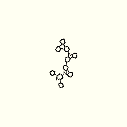 c1ccc(-c2cc(-n3c4ccccc4c4cc(-c5ccc6c(c5)c5ccccc5n6-c5ccc6c7ccccc7c7ccccc7c6c5)ccc43)cc(-c3ccccc3)n2)cc1